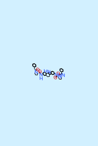 CN(C)[C@@H](C(=O)N1CCC[C@H]1C(=O)Nc1ccc2[nH]c3c(c2c1)CCc1cc(NC(=O)[C@@H]2CCCN2C(=O)Cc2ccccc2)ccc1-3)c1ccccc1